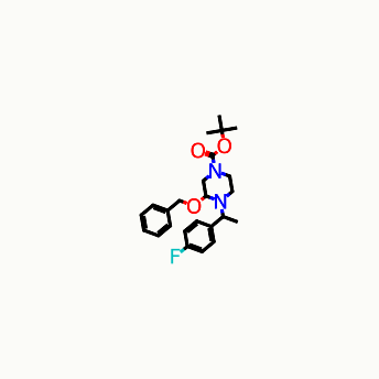 CC(c1ccc(F)cc1)N1CCN(C(=O)OC(C)(C)C)CC1OCc1ccccc1